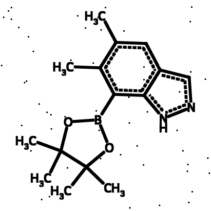 Cc1cc2cn[nH]c2c(B2OC(C)(C)C(C)(C)O2)c1C